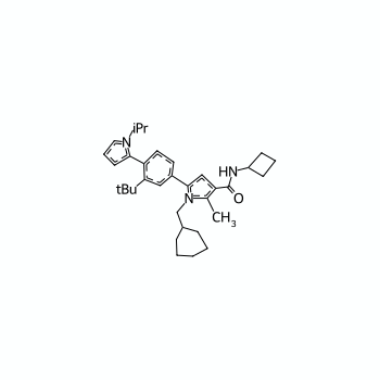 Cc1c(C(=O)NC2CCC2)cc(-c2ccc(-c3cccn3C(C)C)c(C(C)(C)C)c2)n1CC1CCCCC1